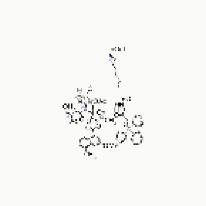 CCCCCCCC/C=C/CCCCCCCC(=O)NC[C@H](O)COC(c1ccccc1)(c1ccccc1)c1ccccc1.COc1cc(C(=O)O[C@H](C(=O)N/C(C(=O)N/C(=C\O)C(C)=O)=C2\[C@@H](OC(C)=O)[C@H](O)[C@@H]3CN23)[C@]2(C)CO2)c2cccc(C)c2c1